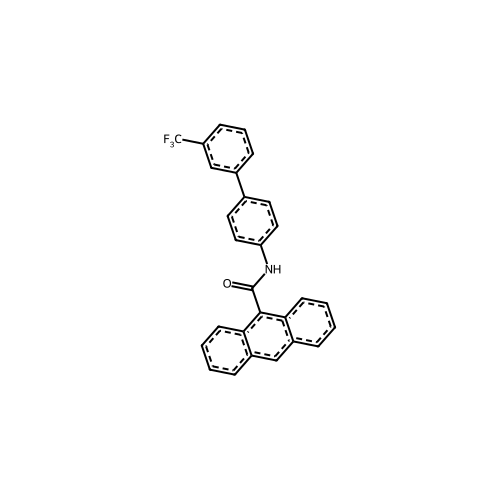 O=C(Nc1ccc(-c2cccc(C(F)(F)F)c2)cc1)c1c2ccccc2cc2ccccc12